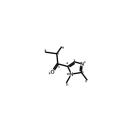 Cc1ncc(C(=O)C(C)C)n1C